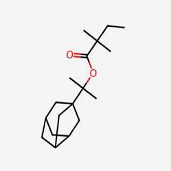 CCC(C)(C)C(=O)OC(C)(C)C12CC3CC(C1)C(C3)C2